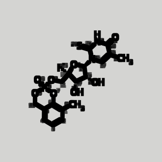 Cc1cccc2c1OP(=O)(OC[C@@]1(F)O[C@@H](n3cc(C)c(=O)[nH]c3=S)[C@H](O)[C@@H]1O)OC2